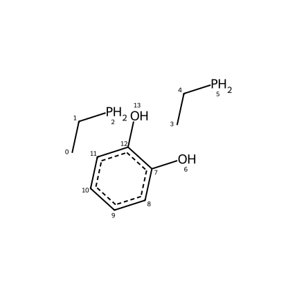 CCP.CCP.Oc1ccccc1O